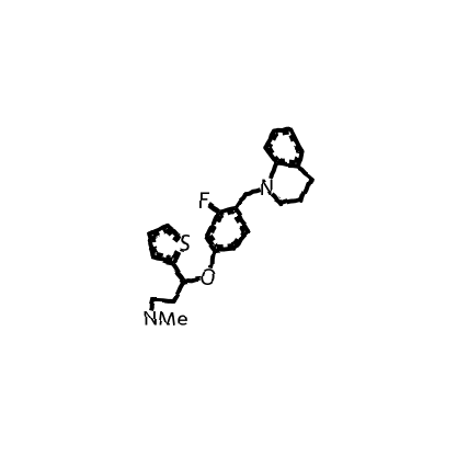 CNCCC(Oc1ccc(CN2CCCc3ccccc32)c(F)c1)c1cccs1